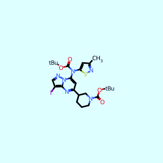 Cc1cc(N(C(=O)OC(C)(C)C)c2cc(C3CCCN(C(=O)OC(C)(C)C)C3)nc3c(I)cnn23)sn1